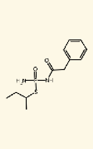 CCC(C)SP(N)(=O)NC(=O)Cc1ccccc1